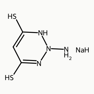 NN1N=C(S)C=C(S)N1.[NaH]